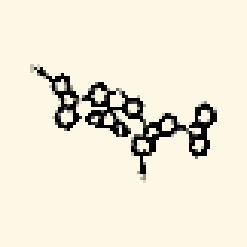 N#Cc1ccc2c(c1)c1ccccc1n2-c1ccc2c(c1)C1(c3cc(-n4c5ccc(C#N)cc5c5cc(-n6c7ccccc7c7ccccc76)ccc54)ccc3S2)c2cccnc2-c2ncccc21